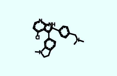 CN(C)Cc1ccc(-c2[nH]c3nccc(Cl)c3c2-c2ccc3c(c2)N(C)CC3)cc1